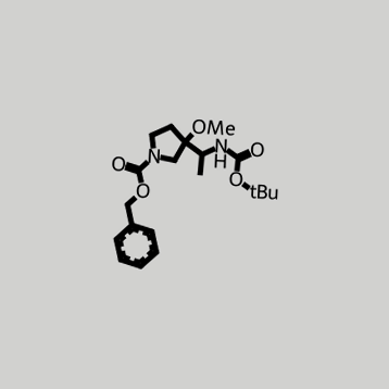 COC1(C(C)NC(=O)OC(C)(C)C)CCN(C(=O)OCc2ccccc2)C1